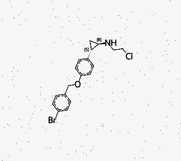 ClCCN[C@@H]1C[C@H]1c1ccc(OCc2ccc(Br)cc2)cc1